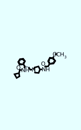 COc1ccc(CC(=O)NC2CCN(CC[C@H](NC(=O)C3CCC3)c3ccccc3)CC2)cc1